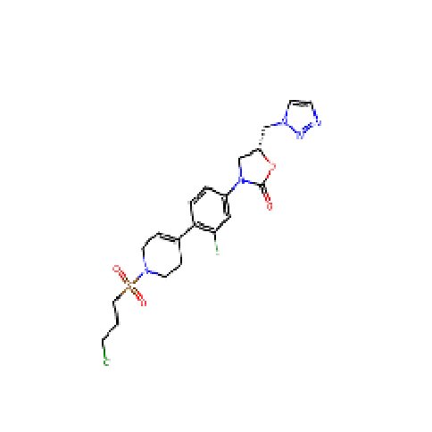 O=C1O[C@@H](Cn2ccnn2)CN1c1ccc(C2=CCN(S(=O)(=O)CCCCl)CC2)c(F)c1